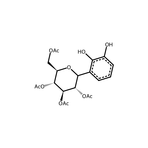 CC(=O)OC[C@H]1OC(c2cccc(O)c2O)[C@H](OC(C)=O)[C@@H](OC(C)=O)[C@@H]1OC(C)=O